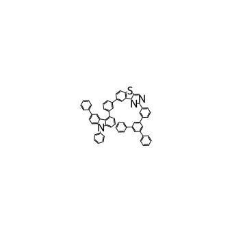 c1ccc(-c2cc(-c3ccccc3)cc(-c3cccc(-c4ncc5sc6ccc(-c7cccc(-c8cccc9c8c8cc(-c%10ccccc%10)ccc8n9-c8ccccc8)c7)cc6c5n4)c3)c2)cc1